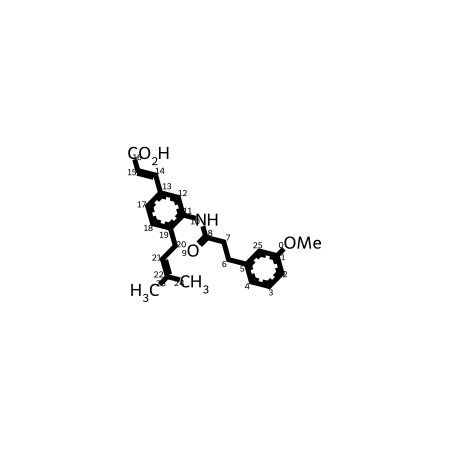 COc1cccc(CCC(=O)Nc2cc(/C=C/C(=O)O)ccc2CC=C(C)C)c1